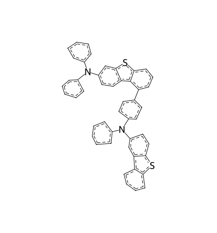 c1ccc(N(c2ccccc2)c2ccc3c(c2)sc2cccc(-c4ccc(N(c5ccccc5)c5ccc6sc7ccccc7c6c5)cc4)c23)cc1